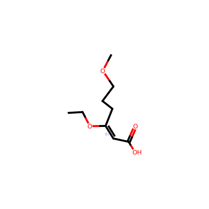 CCO/C(=C/C(=O)O)CCCOC